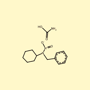 NC(=O)O.O=[N+]([O-])N(Cc1ccccc1)C1CCCCC1